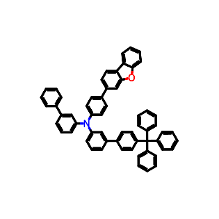 c1ccc(-c2cccc(N(c3ccc(-c4ccc5c(c4)oc4ccccc45)cc3)c3cccc(-c4ccc(C(c5ccccc5)(c5ccccc5)c5ccccc5)cc4)c3)c2)cc1